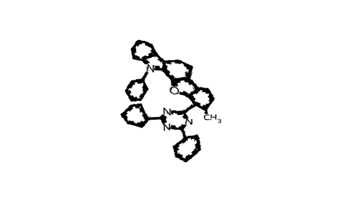 Cc1ccc2c(oc3c2ccc2c4ccccc4n(-c4ccccc4)c23)c1-c1nc(-c2ccccc2)nc(-c2ccccc2)n1